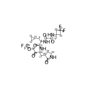 CC1(NC(=O)C(=O)NC(CC2CC2)C(=O)NC(CC2CCNC2=O)C(=O)COC(F)(F)F)CC(F)(F)C1